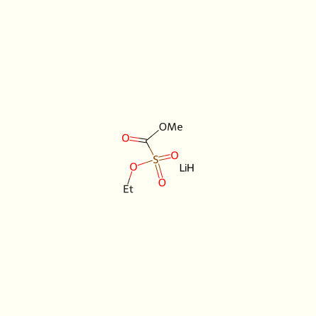 CCOS(=O)(=O)C(=O)OC.[LiH]